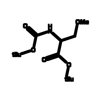 COCC(NC(=O)OC(C)(C)C)C(=O)OC(C)(C)C